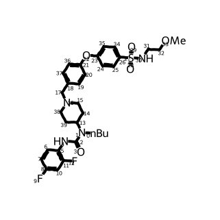 CCCCN(C(=O)Nc1ccc(F)cc1F)C1CCN(Cc2ccc(Oc3ccc(S(=O)(=O)NCCOC)cc3)cc2)CC1